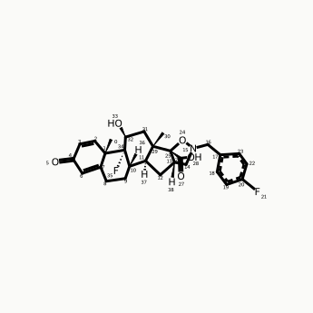 C[C@]12C=CC(=O)C=C1CC[C@H]1[C@@H]3C[C@H]4CN(Cc5ccc(F)cc5)O[C@@]4(C(=O)O)[C@@]3(C)C[C@H](O)[C@@]12F